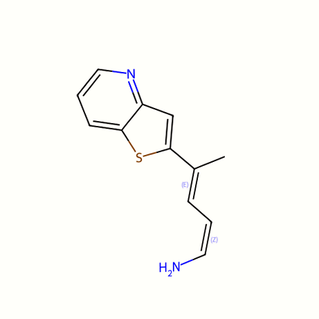 C/C(=C\C=C/N)c1cc2ncccc2s1